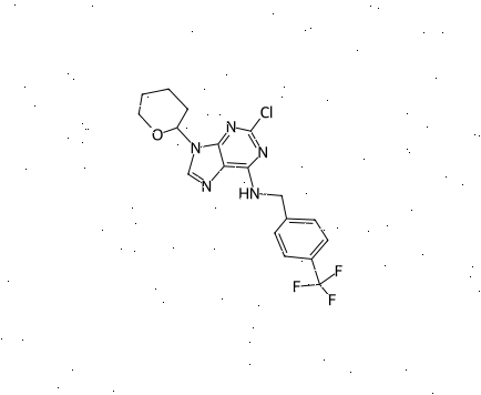 FC(F)(F)c1ccc(CNc2nc(Cl)nc3c2ncn3C2CCCCO2)cc1